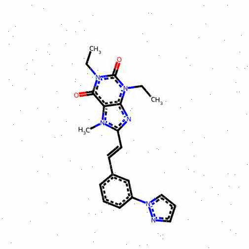 CCn1c(=O)c2c(nc(C=Cc3cccc(-n4cccn4)c3)n2C)n(CC)c1=O